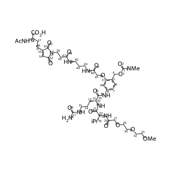 CNC(=O)OCc1ccc(NC(=O)[C@H](CCCNC(N)=O)NC(=O)[C@@H](NC(=O)COCCOCCOC)C(C)C)cc1OCC(=O)NCCCNC(=O)CCN1C(=O)C=C(SC[C@H](NC(C)=O)C(=O)O)C1=O